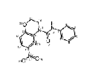 O=C(Nc1ccccc1)N1CCOc2ccc([N+](=O)[O-])nc21